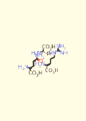 CC(C)[C@H](N)C(=O)O.N=C(N)NCCC[C@H](N)C(=O)O.NC(=O)CC[C@H](N)C(=O)O